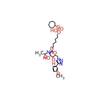 COc1cccc(-c2cn(CC3OC(OCCCCCCOP(=O)(O)OC4CCCCCC4)C(NC(C)=O)C(O)C3O)nn2)c1